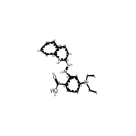 CCN(CC)c1ccc(C(=O)O)c(N=Nc2ccc3ccccc3n2)c1